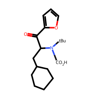 CC(C)(C)N(C(=O)O)C(CC1CCCCC1)C(=O)c1ccco1